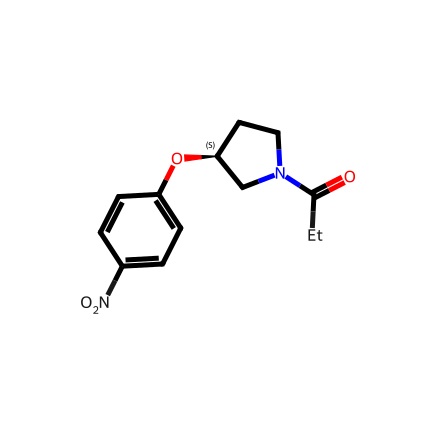 CCC(=O)N1CC[C@H](Oc2ccc([N+](=O)[O-])cc2)C1